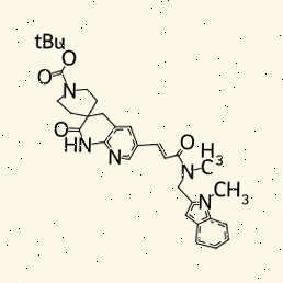 CN(Cc1cc2ccccc2n1C)C(=O)/C=C/c1cnc2c(c1)CC1(CCN(C(=O)OC(C)(C)C)CC1)C(=O)N2